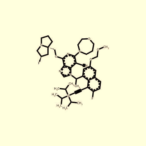 COCOc1cc(C(C)n2cnc3c(OC[C@@]45CCCN4C[C@H](F)C5)nc(N4CCCOCC4)c(C#N)c32)c2c(C#C[Si](C(C)C)(C(C)C)C(C)C)c(F)ccc2c1